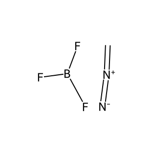 C=[N+]=[N-].FB(F)F